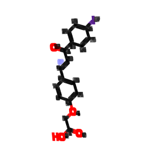 O=C(O)COc1ccc(/C=C/C(=O)c2ccc(I)cc2)cc1